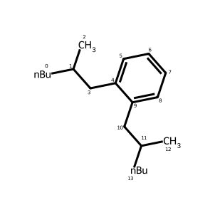 CCCCC(C)Cc1ccccc1CC(C)CCCC